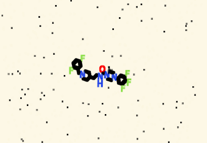 C[C@@H]1CN(c2cc(F)c(F)c(F)c2)CCN1C(=O)NCCC1CCN(Cc2cc(F)ccc2F)CC1